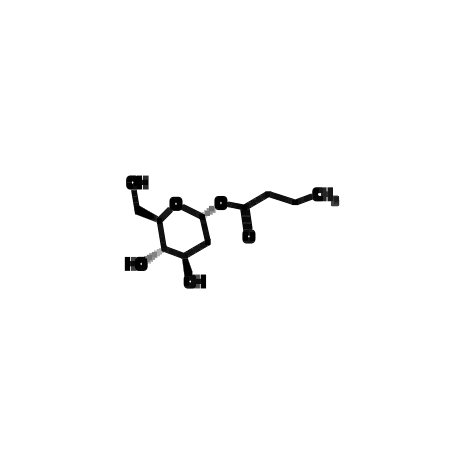 CCCC(=O)O[C@@H]1C[C@@H](O)[C@H](O)[C@@H](CO)O1